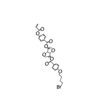 C=CC(=O)Oc1ccc(C(=O)O[C@@H]2COC3C2OC[C@@H]3OC(=O)c2ccc(OCCCCBr)cc2)cc1